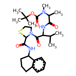 CC(C)C(NC(=O)C(C)N(C)C(=O)OC(C)(C)C)C(=O)N1CCSC1C(=O)NC1CCCc2ccccc21